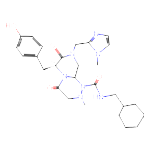 CN1CC(=O)N2C(CN(Cc3nccn3C)C(=O)[C@@H]2Cc2ccc(O)cc2)N1C(=O)NCC1CCCCC1